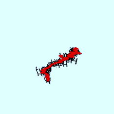 CC[C@@H]1C[C@H](C2=C(CN3CCN(c4ccc(C(=O)NS(=O)(=O)c5ccc(N[C@H](CCN6CCN(C(=O)NCCOCCOCCNC(=O)CCC(=O)N[C@H](C(=O)N7CCC[C@H]7C(=O)NCc7ccc(-c8ocnc8C)cc7)C(C)(C)C)CC6)CSc6ccccc6)c(S)c5)cc4)CC3)CCC(C)(C)C2)[C@@H]2CC12